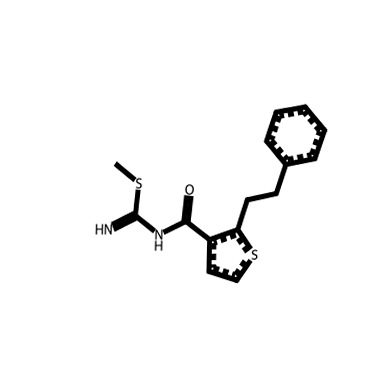 CSC(=N)NC(=O)c1ccsc1CCc1ccccc1